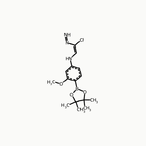 COc1cc(N/C=C(/Cl)N=N)ccc1B1OC(C)(C)C(C)(C)O1